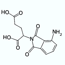 Nc1cccc2c1C(=O)N(C(CCC(=O)O)C(=O)O)C2=O